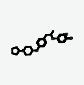 CC(Cc1ccc(OC2CCN(C3CCCC3)CC2)cc1)Oc1ccc(=O)[nH]c1